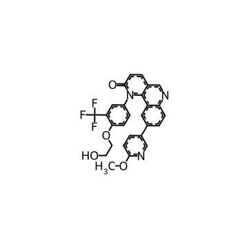 COc1ccc(-c2ccc3ncc4ccc(=O)n(-c5ccc(OCCO)c(C(F)(F)F)c5)c4c3c2)cn1